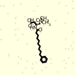 C[N+](C)(C)C[C@H](CC(=O)[O-])NC(=O)CCCCCCCCCc1ccccc1